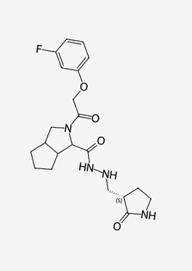 O=C(NNC[C@@H]1CCNC1=O)C1C2CCCC2CN1C(=O)COc1cccc(F)c1